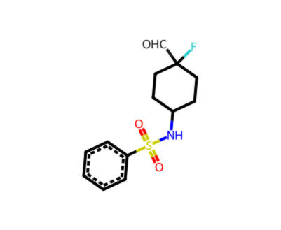 O=CC1(F)CCC(NS(=O)(=O)c2ccccc2)CC1